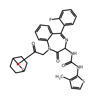 Cc1ccsc1NC(=O)NC1N=C(c2ccccc2F)c2ccccc2N(CC(=O)N2CC3CCC(CC3)C2)C1=O